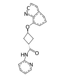 O=C(Nc1ccccn1)[C@H]1C[C@H](Oc2cccc3cccnc23)C1